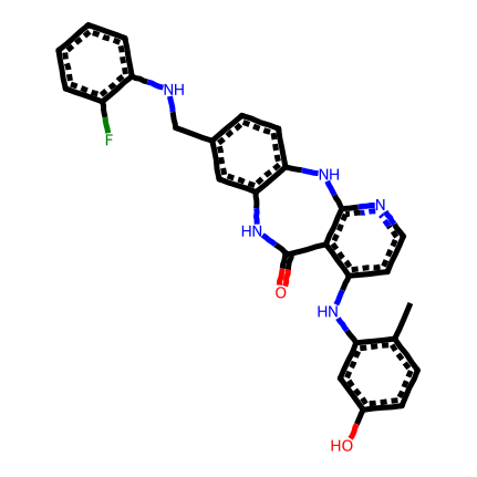 Cc1ccc(O)cc1Nc1ccnc2c1C(=O)Nc1cc(CNc3ccccc3F)ccc1N2